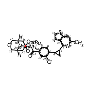 Cc1nc(C2CC2c2ccc(C(=O)NC3C[C@H]4COC[C@@H](C3)N4C(=O)OC(C)(C)C)cc2Cl)c2ccsc2n1